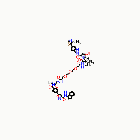 Cc1ncsc1-c1ccc(CNC(=O)[C@@H]2C[C@@H](O)CN2C(=O)[C@@H](NC(=O)CCOCCOCCOCCC(=O)NCCN(C)C(=O)c2ccc(-c3cc(C(=O)N[C@@H]4CCc5ccccc54)no3)cc2O)C(C)(C)C)cc1